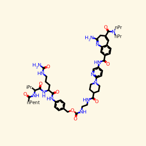 CCCCCC(=O)NC(C(=O)NC(CCCNC(N)=O)C(=O)Nc1ccc(COC(=O)NCCNC(=O)C2CCN(c3ccc(NC(=O)c4ccc5c(c4)N=C(N)CC(C(=O)N(CCC)CCC)=C5)cn3)CC2)cc1)C(C)C